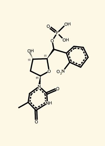 Cc1cn([C@H]2C[C@H](O)[C@@H](C(OP(=O)(O)O)c3ccccc3[N+](=O)[O-])O2)c(=O)[nH]c1=O